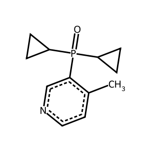 Cc1ccncc1P(=O)(C1CC1)C1CC1